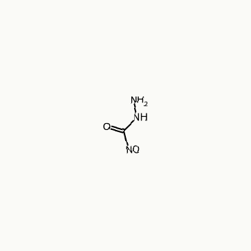 NNC(=O)N=O